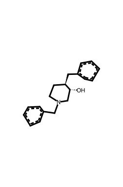 O[C@@H]1CN(Cc2ccccc2)CC[C@H]1Cc1ccccc1